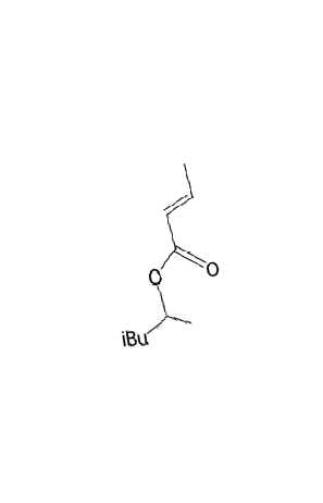 C/C=C/C(=O)OC(C)C(C)CC